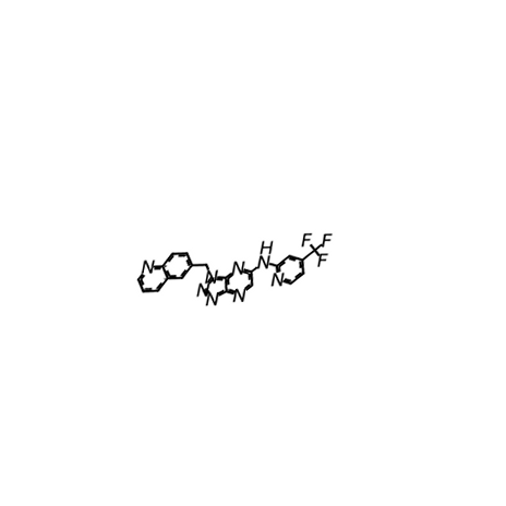 FC(F)(F)c1ccnc(Nc2cnc3nnn(Cc4ccc5ncccc5c4)c3n2)c1